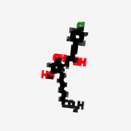 O=C(O)CCCCCC[C@@H]1[C@@H](CCC(O)C#Cc2ccc(Cl)cc2)[C@H](O)C[C@@H]1O